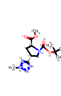 COC(=O)[C@@H]1C[C@@H](c2nnn(C)n2)CN1C(=O)OC(C)(C)C